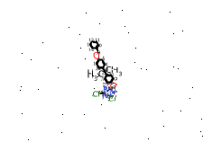 CC(C)(c1ccc(OCc2ccccc2)cc1)c1ccc(Oc2nc(Cl)nc(Cl)n2)cc1